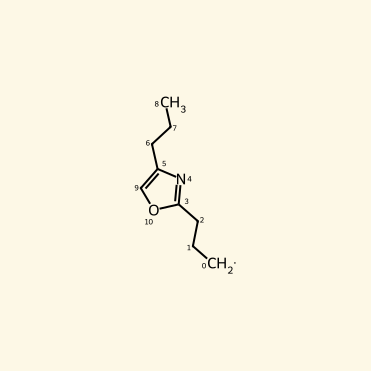 [CH2]CCc1nc(CCC)co1